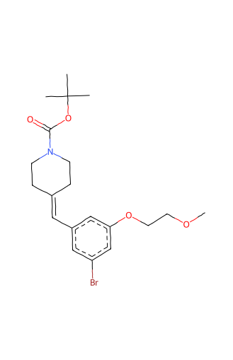 COCCOc1cc(Br)cc(C=C2CCN(C(=O)OC(C)(C)C)CC2)c1